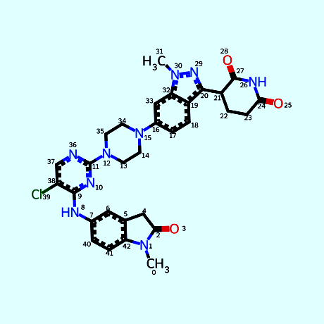 CN1C(=O)Cc2cc(Nc3nc(N4CCN(c5ccc6c(C7CCC(=O)NC7=O)nn(C)c6c5)CC4)ncc3Cl)ccc21